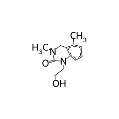 Cc1cccc2c1CN(C)C(=O)N2CCO